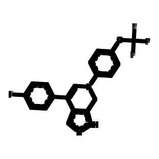 Fc1ccc(C2=CN(c3ccc(OC(F)(F)F)cc3)Cc3[nH]ncc32)cc1